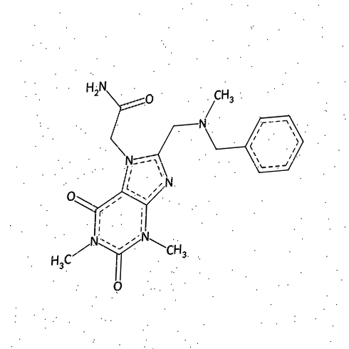 CN(Cc1ccccc1)Cc1nc2c(c(=O)n(C)c(=O)n2C)n1CC(N)=O